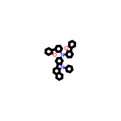 c1ccc(-n2c3cc(N(c4cccc5c4oc4ccccc45)c4cccc5c4oc4ccccc45)ccc3c3ccc4ccccc4c32)cc1